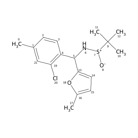 Cc1ccc(C(N[S+]([O-])C(C)(C)C)c2ccc(C)o2)c(Cl)c1